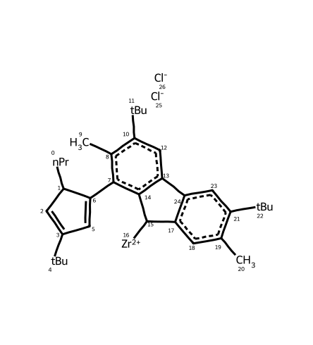 CCCC1C=C(C(C)(C)C)C=C1c1c(C)c(C(C)(C)C)cc2c1[CH]([Zr+2])c1cc(C)c(C(C)(C)C)cc1-2.[Cl-].[Cl-]